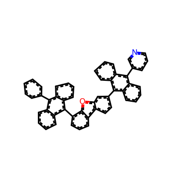 c1ccc(-c2c3ccccc3c(-c3cccc4c3oc3cc(-c5c6ccccc6c(-c6cccnc6)c6ccccc56)ccc34)c3ccccc23)cc1